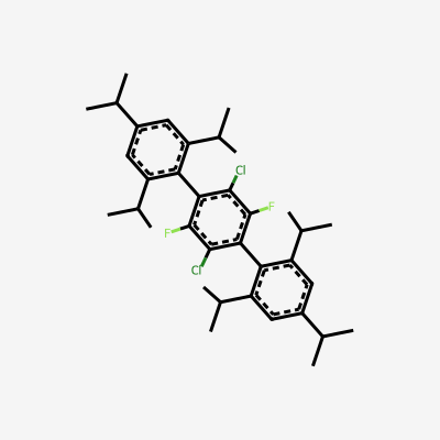 CC(C)c1cc(C(C)C)c(-c2c(F)c(Cl)c(-c3c(C(C)C)cc(C(C)C)cc3C(C)C)c(F)c2Cl)c(C(C)C)c1